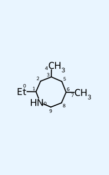 CCC1CC(C)CC(C)CCN1